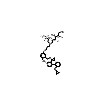 Cc1ccc(SCCCN(CCS(C)(=O)=O)C[C@H](O)[C@@H](O)[C@H](O)[C@H](O)CO)cc1COC1(c2cnccc2-c2ccccc2OC2CC2)CC1